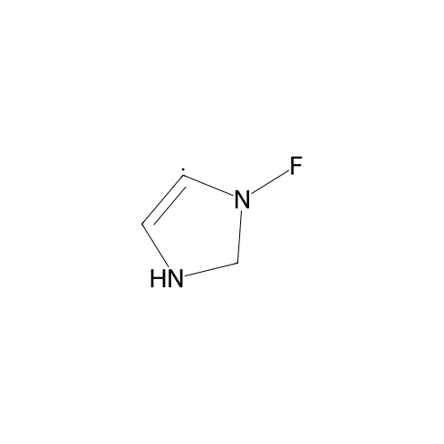 FN1[C]=CNC1